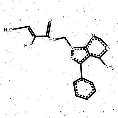 C/C=C(\C)C(=O)NCn1nc(-c2ccccc2)c2c(N)ncnc21